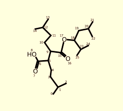 CC(C)CCC(C(=O)O)C(CCC(C)C)C(=O)OC(CC(C)C)C(C)C